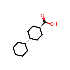 O=C(O)[C@H]1CC[C@H](C2CCCCC2)CC1